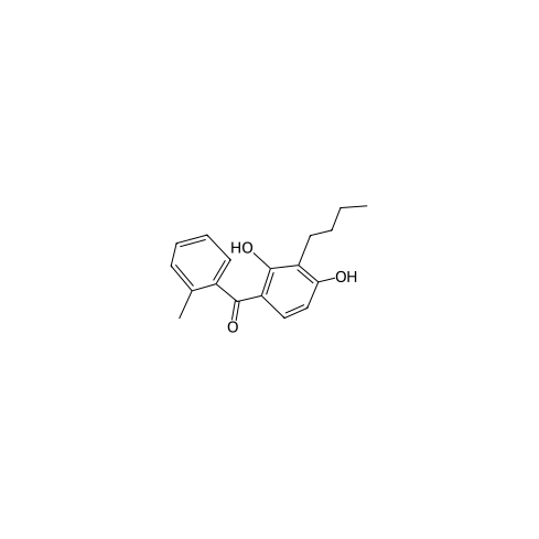 CCCCc1c(O)ccc(C(=O)c2ccccc2C)c1O